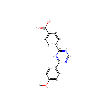 COc1ccc(-c2ncnc(-c3ccc(C(=O)O)cc3)n2)cc1